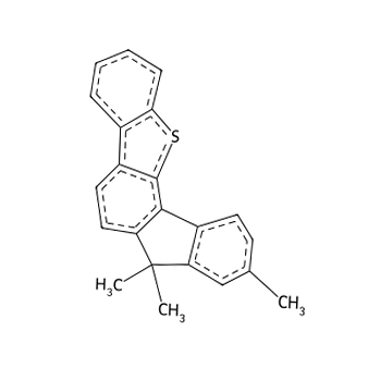 Cc1ccc2c(c1)C(C)(C)c1ccc3c(sc4ccccc43)c1-2